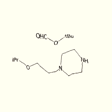 CC(C)(C)OC=O.CC(C)OCCN1CCNCC1